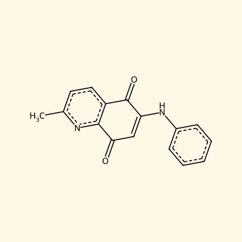 Cc1ccc2c(n1)C(=O)C=C(Nc1ccccc1)C2=O